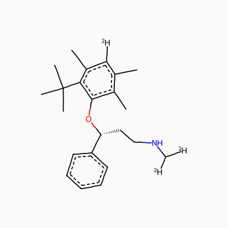 [2H]c1c(C)c(C)c(O[C@H](CCNC([2H])[2H])c2ccccc2)c(C(C)(C)C)c1C